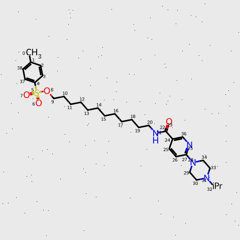 Cc1ccc(S(=O)(=O)OCCCCCCCCCCCCNC(=O)c2ccc(N3CCN(C(C)C)CC3)nc2)cc1